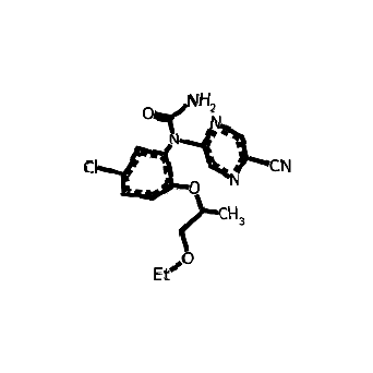 CCOCC(C)Oc1ccc(Cl)cc1N(C(N)=O)c1cnc(C#N)cn1